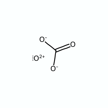 O=C([O-])[O-].[O+2]